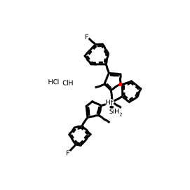 CC1=[C]([Hf]([CH3])(=[SiH2])([C]2=C(C)C(c3ccc(F)cc3)=CC2)[c]2ccccc2)CC=C1c1ccc(F)cc1.Cl.Cl